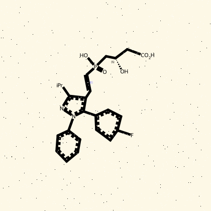 CC(C)c1nn(-c2ccccc2)c(-c2ccc(F)cc2)c1/C=C/P(=O)(O)C[C@@H](O)CC(=O)O